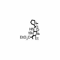 CCOC(=O)/C(C)=C/[C@H](CC)N(C)C(=O)C(NC(=O)C1CCCCN1C)C(C)(C)C